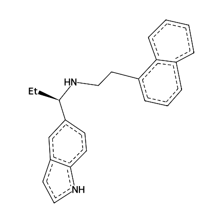 CC[C@@H](NCCc1cccc2ccccc12)c1ccc2[nH]ccc2c1